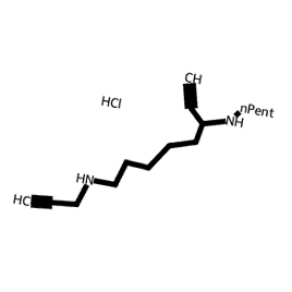 C#CCNCCCCCC(C#C)NCCCCC.Cl